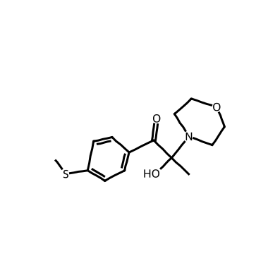 CSc1ccc(C(=O)C(C)(O)N2CCOCC2)cc1